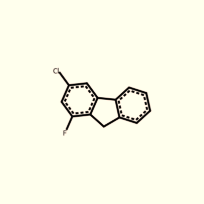 Fc1cc(Cl)cc2c1Cc1ccccc1-2